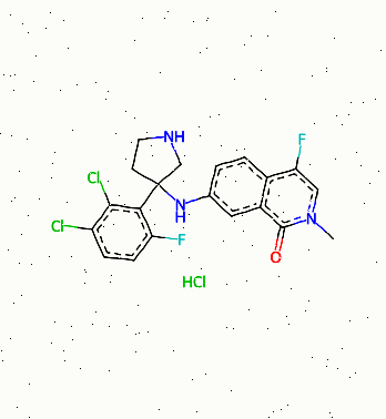 Cl.Cn1cc(F)c2ccc(NC3(c4c(F)ccc(Cl)c4Cl)CCNC3)cc2c1=O